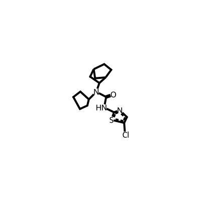 O=C(Nc1ncc(Cl)s1)N(C1CCCC1)C1CC2CCC1C2